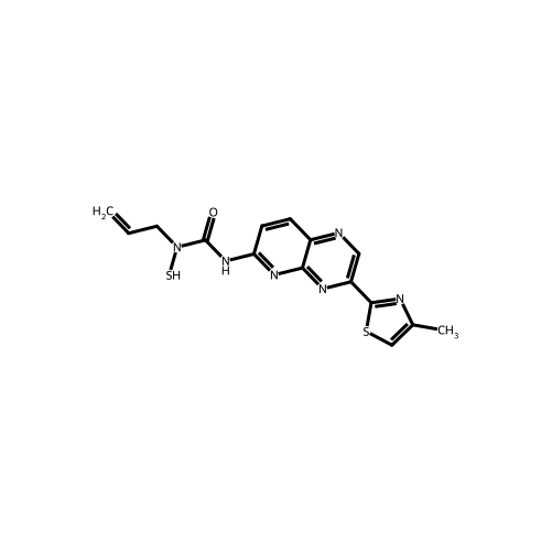 C=CCN(S)C(=O)Nc1ccc2ncc(-c3nc(C)cs3)nc2n1